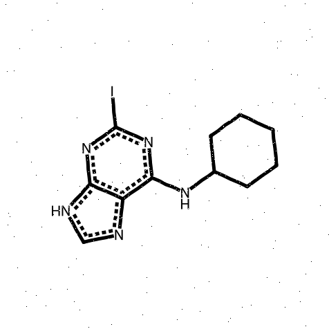 Ic1nc(NC2CCCCC2)c2nc[nH]c2n1